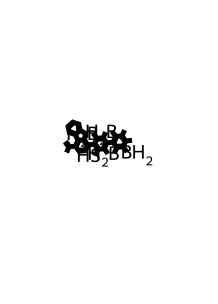 Bc1c(B)c(-c2c(C)c(B)c(-c3ccc(C(=C)C)c4c3Cc3ccccc3-4)c(S)c2C)c(B)c(C)c1C